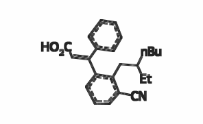 CCCCC(CC)Cc1c(C#N)cccc1/C(=C/C(=O)O)c1ccccc1